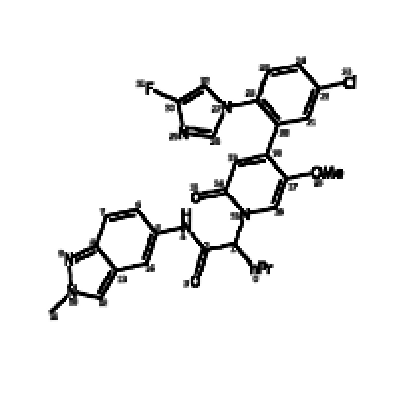 CCCC(C(=O)Nc1ccc2nn(C)cc2c1)n1cc(OC)c(-c2cc(Cl)ccc2-n2cnc(F)c2)cc1=O